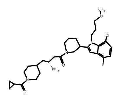 COCCCn1c(C2CCCN(C(=O)C[C@H](N)CC3CCN(C(=O)C4CC4)CC3)C2)cc2c(F)ccc(Cl)c21